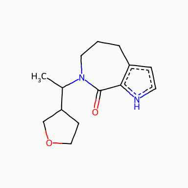 CC(C1CCOC1)N1CCCc2cc[nH]c2C1=O